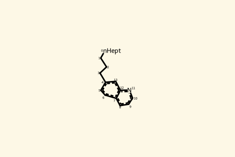 CCCCCCCCCCc1ccc2cc[c]nc2c1